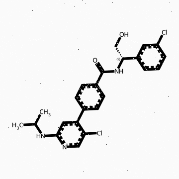 CC(C)Nc1cc(-c2ccc(C(=O)N[C@H](CO)c3cccc(Cl)c3)cc2)c(Cl)cn1